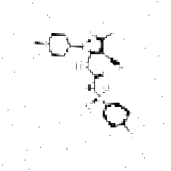 Cc1nn(C2CCN(C)CC2)c(NC(=O)NS(=O)(=O)c2ccc(Cl)cc2)c1C#N